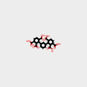 O=C(O)c1ccc(C(=O)O)c(-c2cccc(-c3c(C(=O)O)ccc(C(=O)O)c3C(=O)O)c2)c1C(=O)O